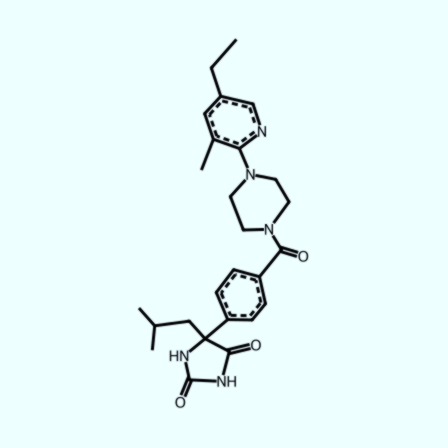 CCc1cnc(N2CCN(C(=O)c3ccc(C4(CC(C)C)NC(=O)NC4=O)cc3)CC2)c(C)c1